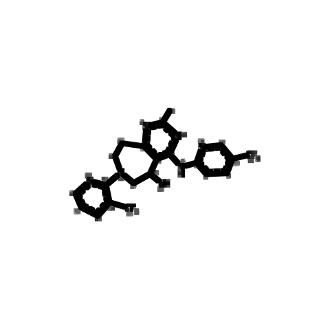 Cc1nc2c(c(Nc3ccc(C(F)(F)F)cn3)n1)C(S)CN(c1ncccc1C(F)(F)F)CC2